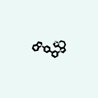 c1cc(-c2ccc(-n3ccc4ccccc43)cc2)cc(-n2ccc3c2-c2ccnn2CCC3)c1